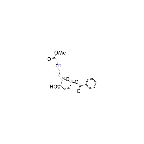 COC(=O)/C=C/CC[C@@H]1O[C@@H](OC(=O)c2ccccc2)C=C[C@H]1O